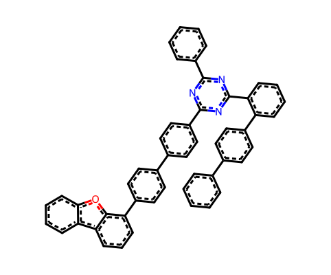 c1ccc(-c2ccc(-c3ccccc3-c3nc(-c4ccccc4)nc(-c4ccc(-c5ccc(-c6cccc7c6oc6ccccc67)cc5)cc4)n3)cc2)cc1